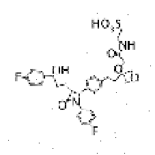 O=C(COC1(CCc2ccc([C@@H]3[C@@H](CCC(O)c4ccc(F)cc4)C(=O)N3c3ccc(F)cc3)cc2)COC1)NCCS(=O)(=O)O